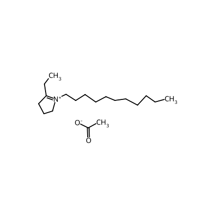 CC(=O)[O-].CCCCCCCCCCC[N+]1=C(CC)CCC1